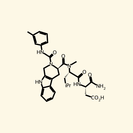 Cc1cccc(NC(=O)N2Cc3[nH]c4ccccc4c3C[C@@H]2C(=O)N(C)[C@@H](CC(C)C)C(=O)N[C@@H](CC(=O)O)C(N)=O)c1